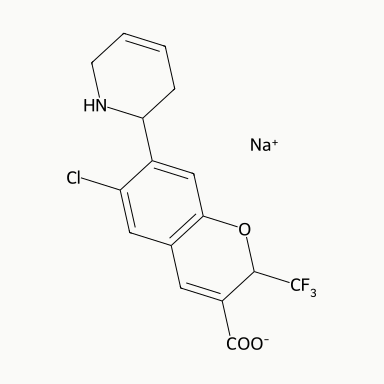 O=C([O-])C1=Cc2cc(Cl)c(C3CC=CCN3)cc2OC1C(F)(F)F.[Na+]